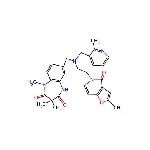 Cc1cc2c(=O)n(CCN(Cc3ccc4c(c3)NC(=O)C(C)(C)C(=O)N4C)Cc3cccnc3C)ccc2o1